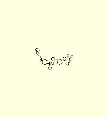 O=C(NCc1ccc(OC(=O)C(F)(F)F)cc1Cl)c1ccc(OCCN2CCCC2)cc1